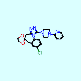 Clc1ccc2c(c1)CC1(Cc3nnc(N4CCN(c5ccccn5)CC4)n3-2)OCCO1